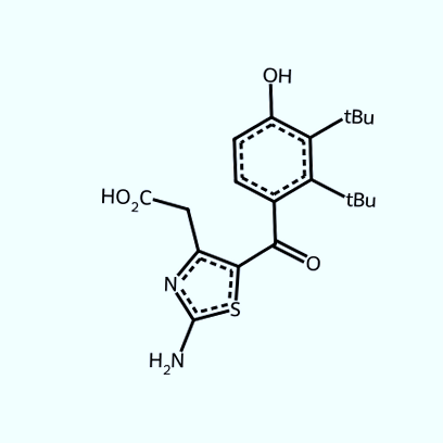 CC(C)(C)c1c(O)ccc(C(=O)c2sc(N)nc2CC(=O)O)c1C(C)(C)C